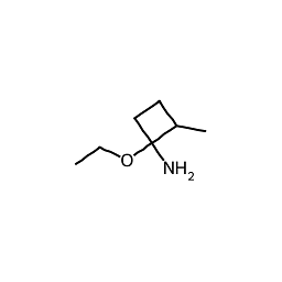 CCOC1(N)CCC1C